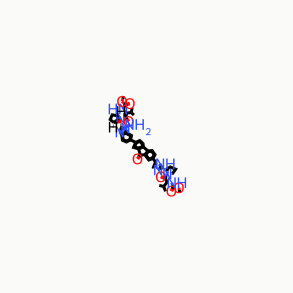 COC(=O)N[C@H](C(=O)N1CCC[C@H]1c1ncc(-c2ccc3c(c2)C(=O)c2cc(-c4ccc5nc([C@@H]6[C@H]7CC[C@H](C7)N6C(=O)[C@@H](NC(=O)OC)C(C)C)n(N)c5c4)ccc2-3)[nH]1)C(C)C